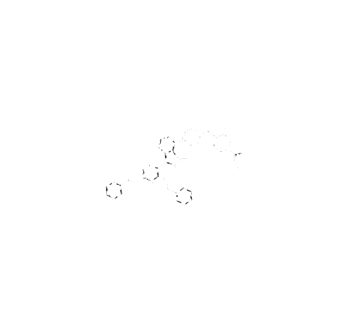 C[C@H]1CN(C(=O)OC(C)(C)C)CCN1CC1CCN(c2cccc3c(-c4ccc(OCc5ccccc5)nc4OCc4ccccc4)nn(C)c23)CC1